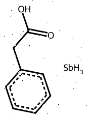 O=C(O)Cc1ccccc1.[SbH3]